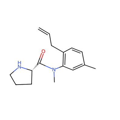 C=CCc1ccc(C)cc1N(C)C(=O)[C@@H]1CCCN1